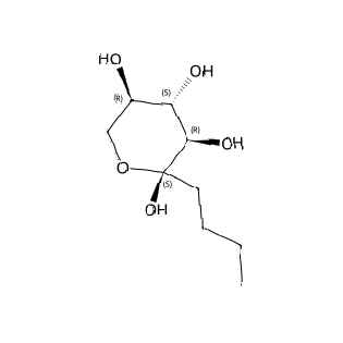 CCCC[C@]1(O)OC[C@@H](O)[C@H](O)[C@H]1O